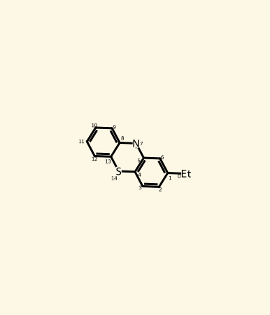 CCc1ccc2c(c1)[N]c1ccccc1S2